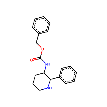 O=C(NC1CCCNC1c1ccccc1)OCc1ccccc1